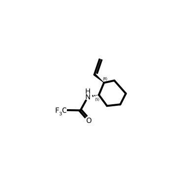 C=C[C@H]1CCCC[C@@H]1NC(=O)C(F)(F)F